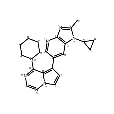 Cc1nc2ncc(-c3ccn4ncnc(N5CCCCC5)c34)cc2n1C1CC1